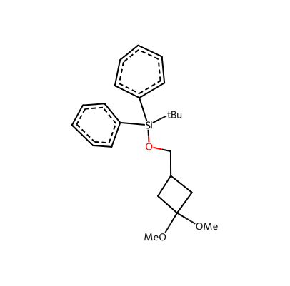 COC1(OC)CC(CO[Si](c2ccccc2)(c2ccccc2)C(C)(C)C)C1